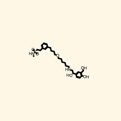 CNS(=O)(=O)CCc1cccc(CCCCOCCCCCCNC[C@@H](O)c2ccc(O)c(CO)c2)c1